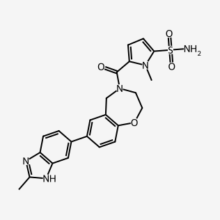 Cc1nc2ccc(-c3ccc4c(c3)CN(C(=O)c3ccc(S(N)(=O)=O)n3C)CCO4)cc2[nH]1